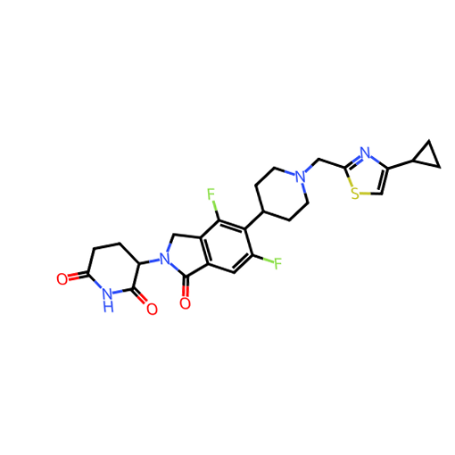 O=C1CCC(N2Cc3c(cc(F)c(C4CCN(Cc5nc(C6CC6)cs5)CC4)c3F)C2=O)C(=O)N1